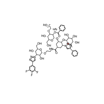 CCC[C@H](OC1C(OC(=O)c2ccccc2)[C@H](O[C@@H]2CC(C(=O)NCCO[C@H]3OC(CO)[C@@H](O)C(n4cc(-c5cc(F)c(F)c(F)c5)nn4)C3O)CC(n3cc(-c4ccccc4)nn3)C2O[C@@H]2OC(C)[C@@H](O)C(O)C2O)OC(CO)[C@@H]1O)C(=O)O